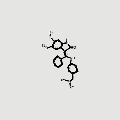 CCOc1cc2c(cc1OCC)/C(=C(/Nc1ccc(CN(C(C)C)C(C)C)cc1)c1ccccc1)C(=O)N2